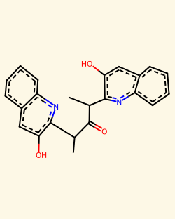 CC(C(=O)C(C)c1nc2ccccc2cc1O)c1nc2ccccc2cc1O